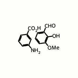 COc1cccc(C=O)c1O.Nc1cccc(C(=O)O)c1